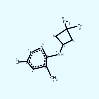 Cc1cc(Cl)nnc1NC1CC(C)(O)C1